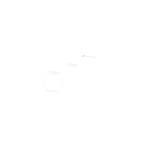 [CH2]c1ccc(/C=C/C(=O)NO)cn1